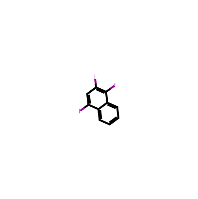 Ic1cc(I)c2ccccc2c1I